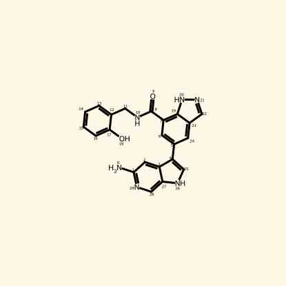 Nc1cc2c(-c3cc(C(=O)NCc4ccccc4O)c4[nH]ncc4c3)c[nH]c2cn1